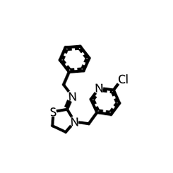 Clc1ccc(CN2CCSC2=NCc2ccccc2)cn1